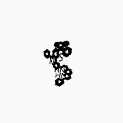 C1=CC(c2ccccc2)Nc2c1ccc1c2NC(c2ccc3nc(-c4ccccc4)c4ccc5c(c4c3c2)Sc2ccccc2C52c3ccccc3-c3ccccc32)C=C1